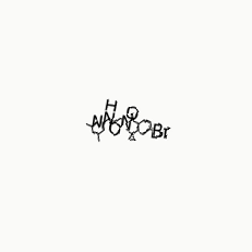 Cc1cc(C)nc(NC(=O)CN2CC3(CC3)c3cc(Br)ccc3C2=O)c1